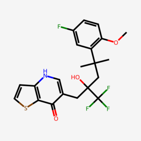 COc1ccc(F)cc1C(C)(C)CC(O)(Cc1c[nH]c2ccsc2c1=O)C(F)(F)F